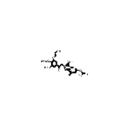 CCC(CC)Oc1cc(C)c2nn(CC(=O)c3cc(OCCO)c(OC)c(C(C)(C)C)c3)c(=N)n2n1